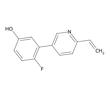 C=Cc1ccc(-c2cc(O)ccc2F)cn1